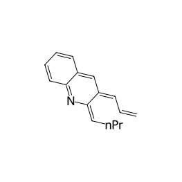 C=C/C=c1/cc2ccccc2n/c1=C/CCC